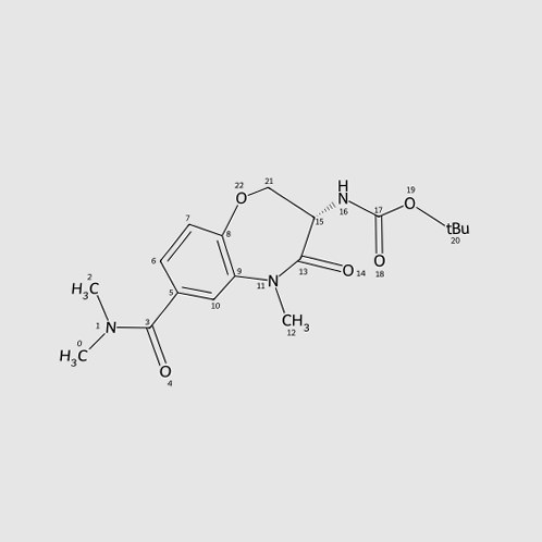 CN(C)C(=O)c1ccc2c(c1)N(C)C(=O)[C@@H](NC(=O)OC(C)(C)C)CO2